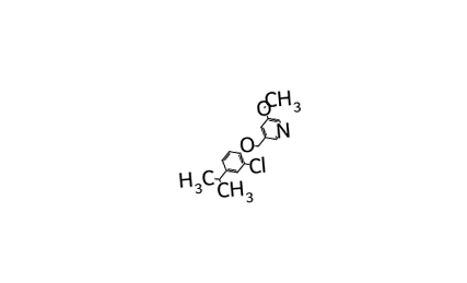 COc1cncc(COc2ccc(C(C)C)cc2Cl)c1